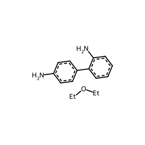 CCOCC.Nc1ccc(-c2ccccc2N)cc1